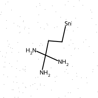 NC(N)(N)C[CH2][Sn]